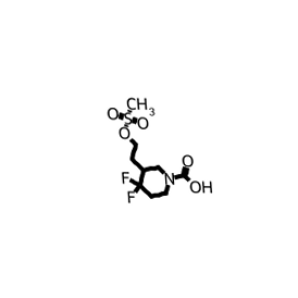 CS(=O)(=O)OCCC1CN(C(=O)O)CCC1(F)F